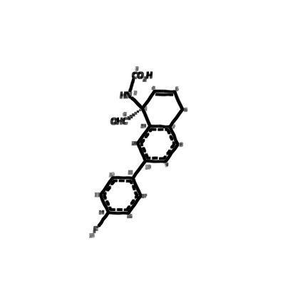 O=C[C@]1(NC(=O)O)C=CCc2ccc(-c3ccc(F)cc3)cc21